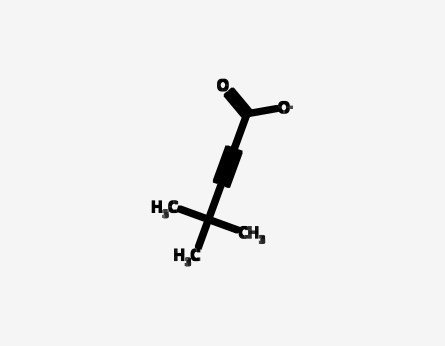 CC(C)(C)C#CC([O])=O